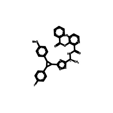 COc1ccc(C2C(c3ccc(F)cc3)C2c2nc([C@H](C)NC(=O)c3nccc(OC)c3OC(=O)c3ccccc3)no2)cc1